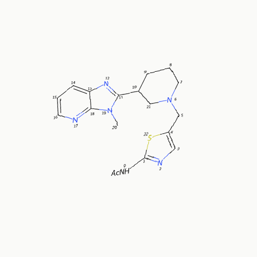 CC(=O)Nc1ncc(CN2CCCC(c3nc4cccnc4n3C)C2)s1